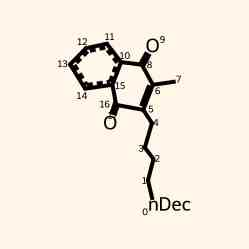 CCCCCCCCCCCCCCC1=C(C)C(=O)c2ccccc2C1=O